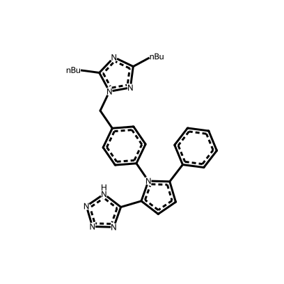 CCCCc1nc(CCCC)n(Cc2ccc(-n3c(-c4ccccc4)ccc3-c3nnn[nH]3)cc2)n1